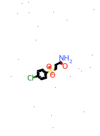 NC(=O)C=CS(=O)(=O)c1ccc(Cl)cc1